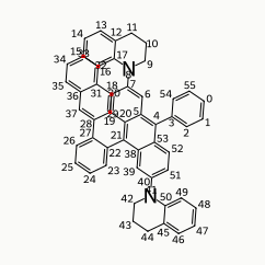 c1ccc(-c2c3cc(N4CCCc5ccccc54)ccc3c(-c3ccccc3-c3ccc4ccccc4c3)c3cc(N4CCCc5ccccc54)ccc23)cc1